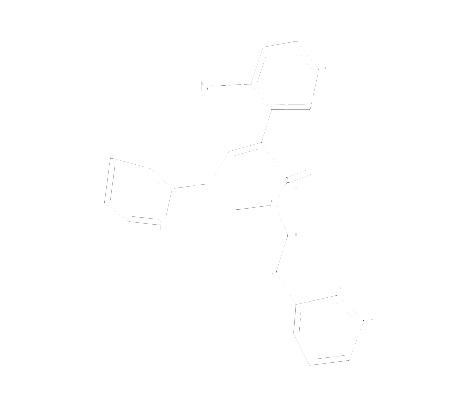 N#Cc1ccccc1-c1cc(-c2ccccn2)cn(CCc2ccccc2)c1=O